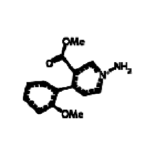 COC(=O)c1c[n+](N)ccc1-c1ccccc1OC